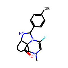 CN1C=C(F)N2C(c3ccc(C(C)(C)C)cc3)NC3CCCC(=O)C32C1